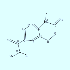 C=CN(C)C(=C)/C(=C\C(=C/C)C(=C)C(C)C)CC